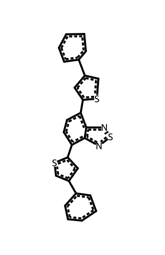 c1ccc(-c2csc(-c3ccc(-c4cc(-c5ccccc5)cs4)c4nsnc34)c2)cc1